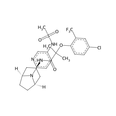 CC(C)(Oc1ccc(Cl)cc1C(F)(F)F)C(=O)N[C@H]1C[C@H]2CC[C@@H](C1)N2c1ccc(NS(C)(=O)=O)cn1